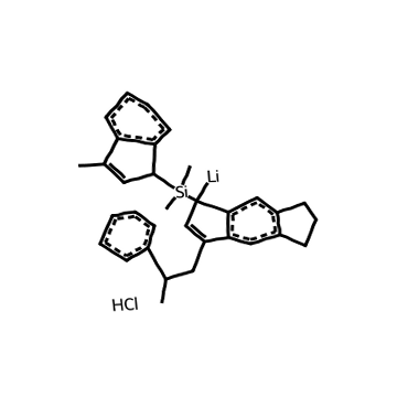 Cl.[Li][C]1([Si](C)(C)C2C=C(C)c3ccccc32)C=C(CC(C)c2ccccc2)c2cc3c(cc21)CCC3